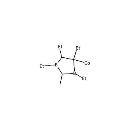 CCB1C(C)B(CC)[C]([Co])(CC)C1CC